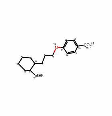 CCCCCCCCCCC1CCCCC1CCCOc1ccc(C(=O)O)cc1